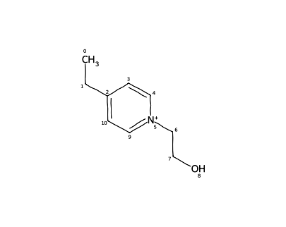 CCc1cc[n+](CCO)cc1